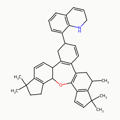 CC1CC2=C(OC3C4=C(C=CC3C3=C2C=CC(c2cccc5c2NCC=C5)C3)C(C)(C)CC4)C2=C1C(C)(C)C=C2